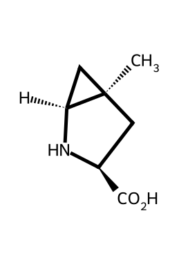 C[C@]12C[C@@H](C(=O)O)N[C@H]1C2